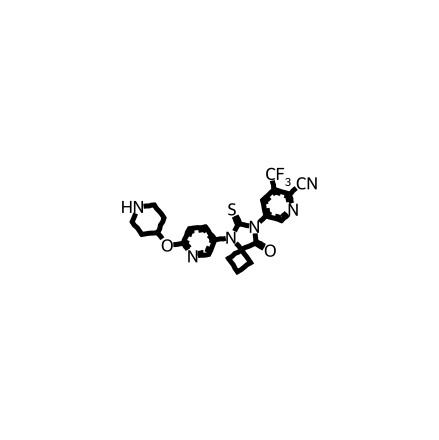 N#Cc1ncc(N2C(=O)C3(CCC3)N(c3ccc(OC4CCNCC4)nc3)C2=S)cc1C(F)(F)F